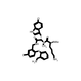 CN[C@@H](CCCCN)C(=O)N(C)[C@@H](Cc1c[nH]c2cc(Cl)ccc12)C(=O)NCc1cc(Cl)ccc1Sc1ccccc1CN